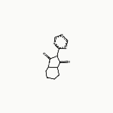 O=C1C2CCCCC2C(=O)N1c1ncncn1